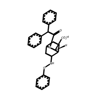 O=C(O)[C@@H]1C2CCC(CC2NOc2ccccc2)N1C(=O)C(c1ccccc1)c1ccccc1